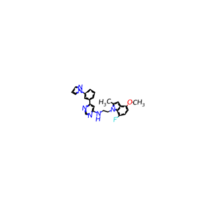 COc1ccc(F)c2c1cc(C)n2CCNc1cc(-c2cccc(-n3cccn3)c2)ncn1